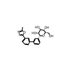 Cc1nnc(-c2cccc(-c3cccc([C@H]4O[C@H](CO)[C@@H](O)[C@H](O)[C@@H]4O)c3)c2)o1